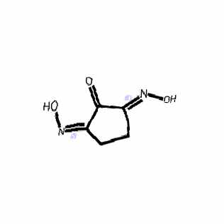 O=C1/C(=N\O)CC/C1=N\O